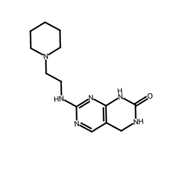 O=C1NCc2cnc(NCCN3CCCCC3)nc2N1